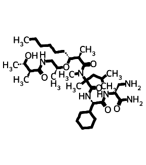 CCCCCC[C@@H](O[C@H](C)CNC(=O)[C@@H](C)[C@H](C)O)[C@@H](C)C(=O)N(C)C(C)(CC(C)C)C(=O)N[C@H](C(=O)N[C@@H](CN)C(N)=O)C1CCCCC1